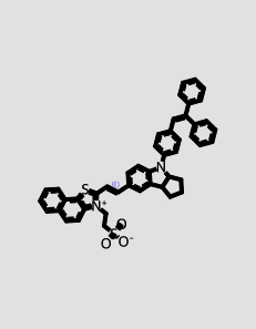 O=S(=O)([O-])CC[n+]1c(/C=C/c2ccc3c(c2)C2CCCC2N3c2ccc(C=C(c3ccccc3)c3ccccc3)cc2)sc2c3ccccc3ccc21